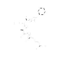 C[C@H](NC(=O)CCCC(=O)O)C(=O)N[C@@H](C)C(=O)NCCc1ccccc1